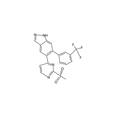 CS(=O)(=O)c1nccc(-c2cc3cn[nH]c3cc2-c2cccc(C(F)(F)F)c2)n1